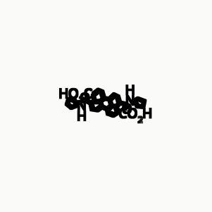 O=C(O)c1ccc2c3ccc(C(=O)NC4CCCC4)c4c(C(=O)O)ccc(c5ccc(C(=O)NC6CCCC6)c1c25)c43